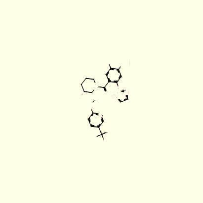 Cc1cc(-n2nccn2)c(C(=O)N2CCC[C@@H](C)[C@H]2COc2ccc(C(F)(F)F)cn2)cc1F